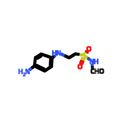 Nc1ccc(NCCS(=O)(=O)NC=O)cc1